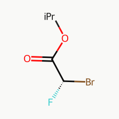 CC(C)OC(=O)[C@@H](F)Br